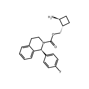 N[C@H]1CC[C@@H]1COC(=O)N1CCc2ccccc2[C@@H]1c1ccc(F)cc1